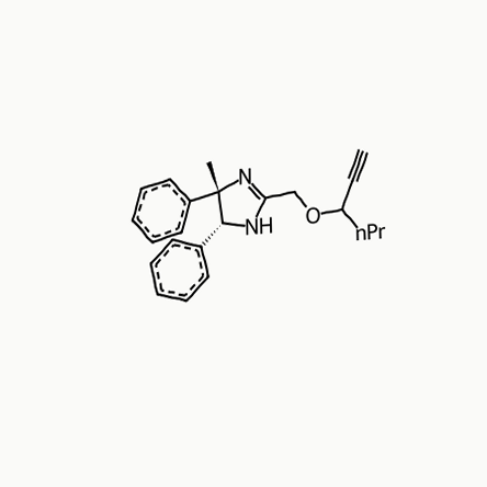 C#CC(CCC)OCC1=N[C@@](C)(c2ccccc2)[C@@H](c2ccccc2)N1